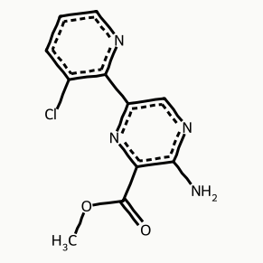 COC(=O)c1nc(-c2ncccc2Cl)cnc1N